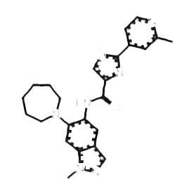 Cc1cc(-c2nc(C(=O)Nc3cc4cnn(C)c4cc3N3CCCCCC3)co2)ccn1